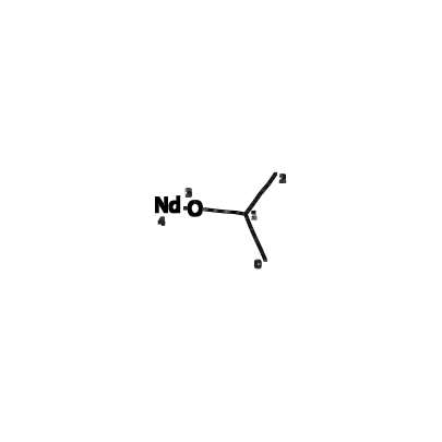 CC(C)[O].[Nd]